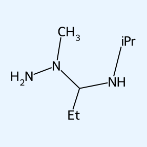 CCC(NC(C)C)N(C)N